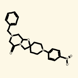 O=C1CN(Cc2ccccc2)CC2OC3(CCN(c4ccc([N+](=O)[O-])cc4)CC3)CN12